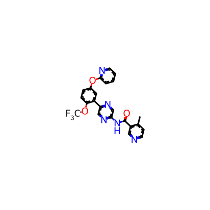 Cc1ccncc1C(=O)Nc1cnc(-c2cc(Oc3ccccn3)ccc2OC(F)(F)F)cn1